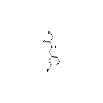 O=C(CBr)NCc1cccc(F)c1